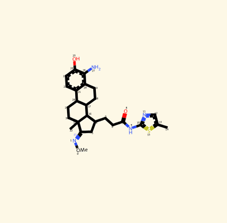 CO/N=C1\CC(CCC(=O)Nc2ncc(C)s2)C2C3CCc4c(ccc(O)c4N)C3CCC12C